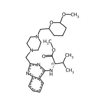 COC(=O)[C@@H](Nc1nc(CN2CCN(CC3CCCC(OC)O3)CC2)nc2ccccc12)C(C)C